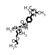 C=CC(=O)OCCC[Si](CNC(=O)Nc1ccc(-c2nc(C)nc(C)n2)cc1)(OC)OC